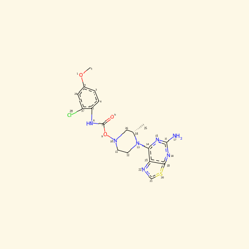 COc1ccc(NC(=O)ON2CCN(c3nc(N)nc4scnc34)[C@@H](C)C2)c(Cl)c1